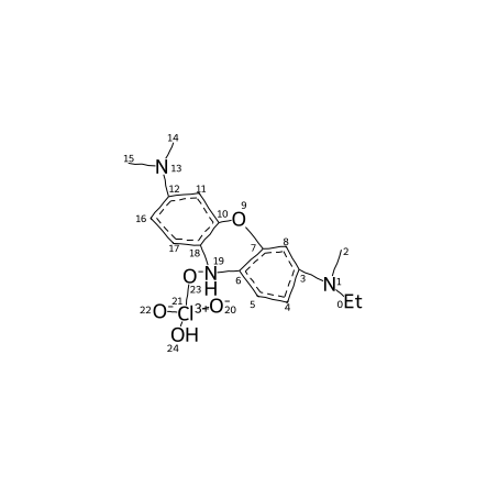 CCN(C)c1ccc2c(c1)Oc1cc(N(C)C)ccc1N2.[O-][Cl+3]([O-])([O-])O